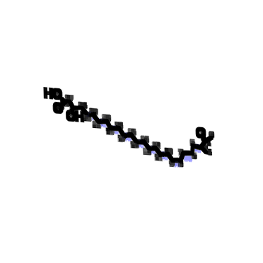 CC(=O)/C(C)=C/C=C/C=C\C=C\C=C\C=C\C=C\C=C\C=C\C=C\CC(O)CC(=O)O